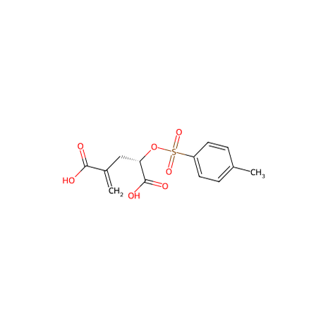 C=C(C[C@H](OS(=O)(=O)c1ccc(C)cc1)C(=O)O)C(=O)O